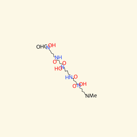 CNCCCCCN(O)C(=O)CCC(=O)NCCCCCN(O)C(=O)CCC(=O)NCCCCCN(O)C=O